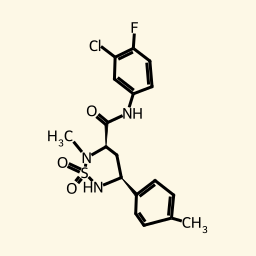 Cc1ccc([C@@H]2C[C@H](C(=O)Nc3ccc(F)c(Cl)c3)N(C)S(=O)(=O)N2)cc1